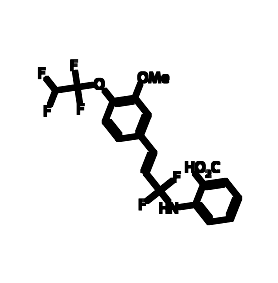 COc1cc(/C=C/C(F)(F)Nc2ccccc2C(=O)O)ccc1OC(F)(F)C(F)F